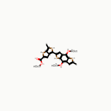 CCCCCCCCOC(=O)c1cc2c(-c3cc4c(OCCCCCCCC)c5sc(C)cc5c(OCCCCCCCC)c4s3)sc(C)c2s1